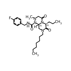 CCCCCCCN1C[C@H]2N(C(=O)CN(C)N2C(=O)NCc2ccc(F)cc2)[C@@H](CCC)C1=O